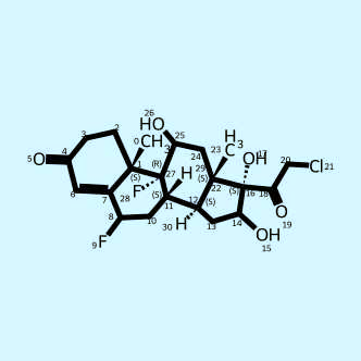 C[C@]12CCC(=O)C=C1C(F)C[C@H]1[C@@H]3CC(O)[C@](O)(C(=O)CCl)[C@@]3(C)CC(O)[C@@]12F